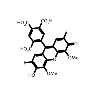 COc1c2oc3c(OC)c(O)c(I)cc3c(-c3cc(C(=O)O)c(C(=O)O)cc3C(=O)O)c-2cc(I)c1=O